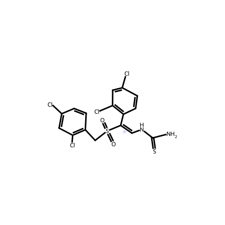 NC(=S)N/C=C(\c1ccc(Cl)cc1Cl)S(=O)(=O)Cc1ccc(Cl)cc1Cl